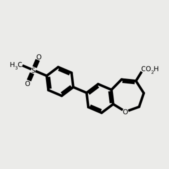 CS(=O)(=O)c1ccc(-c2ccc3c(c2)C=C(C(=O)O)CCO3)cc1